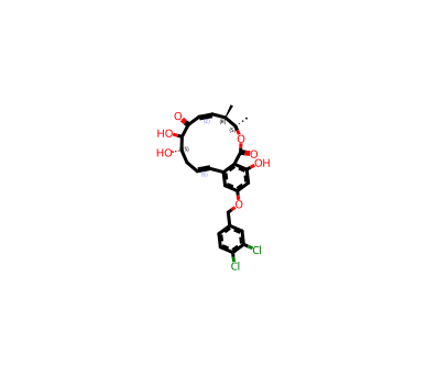 C[C@@H]1/C=C\C(=O)C(O)[C@@H](O)C/C=C/c2cc(OCc3ccc(Cl)c(Cl)c3)cc(O)c2C(=O)O[C@H]1C